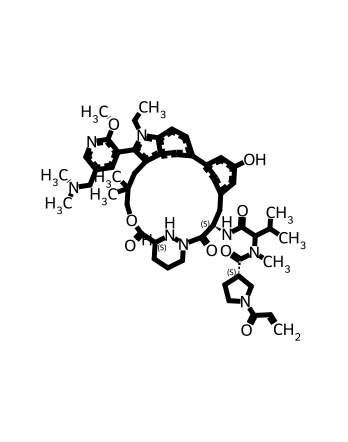 C=CC(=O)N1CC[C@H](C(=O)N(C)C(C(=O)N[C@H]2Cc3cc(O)cc(c3)-c3ccc4c(c3)c(c(-c3cc(CN(C)C)cnc3OC)n4CC)CC(C)(C)COC(=O)[C@@H]3CCCN(N3)C2=O)C(C)C)C1